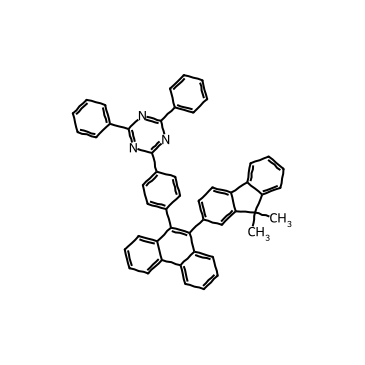 CC1(C)c2ccccc2-c2ccc(-c3c(-c4ccc(-c5nc(-c6ccccc6)nc(-c6ccccc6)n5)cc4)c4ccccc4c4ccccc34)cc21